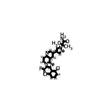 CC(C)(C(N)=O)n1cc(-c2cnc3ccn4c(C(F)F)c(-c5c(Cl)cccc5Cl)nc4c3c2)cn1